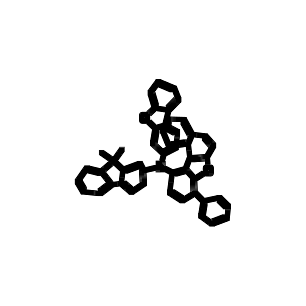 CC1(C)c2ccccc2-c2ccc(N(c3ccc4c(c3)oc3ccccc34)c3ccc(-c4ccccc4)c4oc5ccc6ccccc6c5c34)cc21